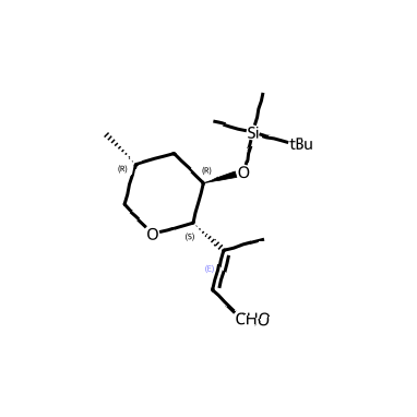 C/C(=C\C=O)[C@@H]1OC[C@H](C)C[C@H]1O[Si](C)(C)C(C)(C)C